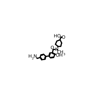 CN(C(=O)c1cc(-c2ccc(CN)cc2)ccc1O)C1CCC(C(=O)O)CC1